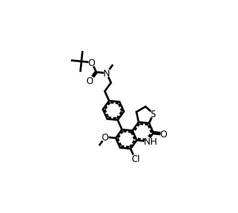 COc1cc(Cl)c2[nH]c(=O)c3c(c2c1-c1ccc(CCN(C)C(=O)OC(C)(C)C)cc1)CCS3